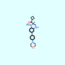 CC(=O)N1c2ccc(-c3ccc(N4CCOCC4)cc3)cc2NC[C@@]1(C)C(=O)C1CCC1